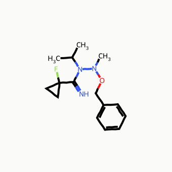 CC(C)N(C(=N)C1(F)CC1)N(C)OCc1ccccc1